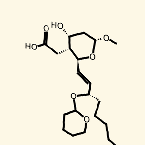 CCCCC[C@@H](C=C[C@@H]1O[C@@H](OC)C[C@@H](O)[C@H]1CC(=O)O)OC1CCCCO1